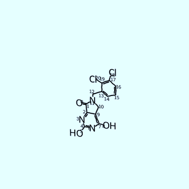 O=C1c2nc(O)nc(O)c2CN1Cc1cccc(Cl)c1Cl